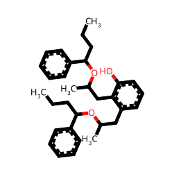 CCCC(OC(C)Cc1cccc(O)c1CC(C)OC(CCC)c1ccccc1)c1ccccc1